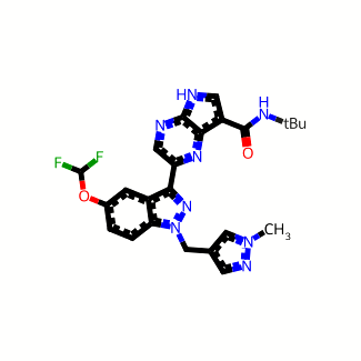 Cn1cc(Cn2nc(-c3cnc4[nH]cc(C(=O)NC(C)(C)C)c4n3)c3cc(OC(F)F)ccc32)cn1